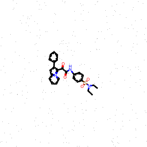 CCN(CC)S(=O)(=O)c1ccc(NC(=O)C(=O)c2c(-c3ccccc3)cc3ccccn23)cc1